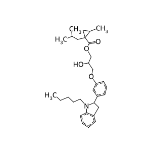 CCCCCN1c2ccccc2CC1c1cccc(OCC(O)COC(=O)C2(CC(C)C)CC2C)c1